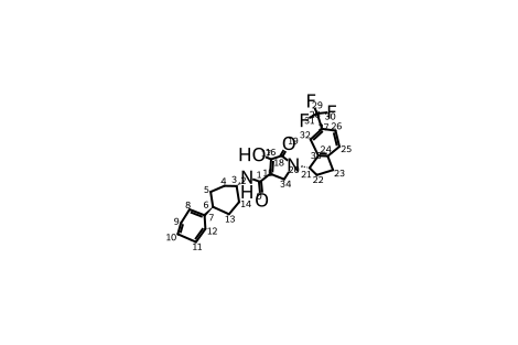 O=C(N[C@H]1CC[C@H](c2ccccc2)CC1)C1=C(O)C(=O)N([C@H]2CCc3ccc(C(F)(F)F)cc32)C1